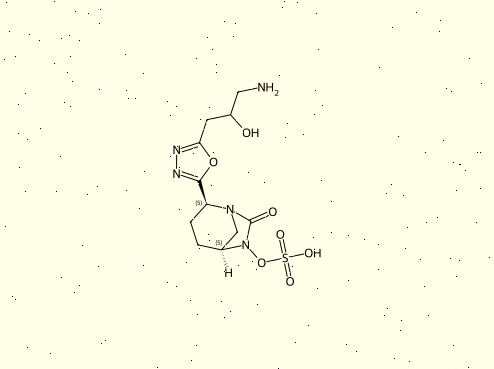 NCC(O)Cc1nnc([C@@H]2CC[C@H]3CN2C(=O)N3OS(=O)(=O)O)o1